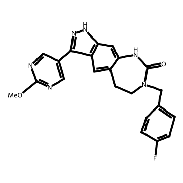 COc1ncc(-c2n[nH]c3cc4c(cc23)CCN(Cc2ccc(F)cc2)C(=O)N4)cn1